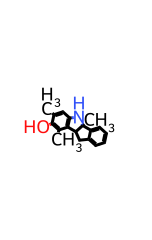 Cc1cc2c(c(C)c1O)C1Cc3ccccc3C1(C)N2